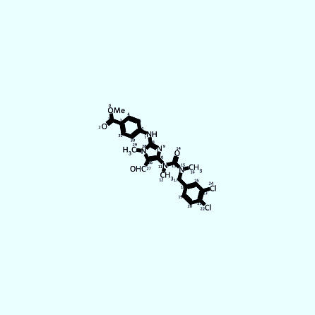 COC(=O)c1ccc(Nc2nc(N(C)C(=O)N(C)Cc3ccc(Cl)c(Cl)c3)c(C=O)n2C)cc1